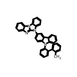 Cc1ccccc1-c1ccccc1-n1c2ccccc2c2cc(-n3c4ccccc4n4c5ccccc5nc34)ccc21